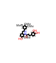 COc1cc(C=Cc2ccc(O)c(OC)c2NC(=O)/C=C/c2ccc(O)c(O)c2)cc(OC)c1OC